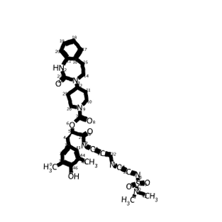 Cc1cc(C[C@@H](OC(=O)N2CCC(N3CCc4ccccc4NC3=O)CC2)C(=O)N=C=C=CN=C=C=NS(=O)(=O)N(C)C)cc(C)c1O